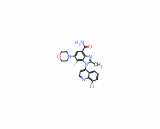 Cc1nc2c(C(N)=O)cc(N3CCOCC3)c(F)c2n1-c1ccnc2c(Cl)cccc12